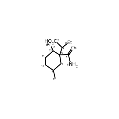 CCC(C(=O)O)C1(C(N)=O)CC(C)CCC1C(C)C